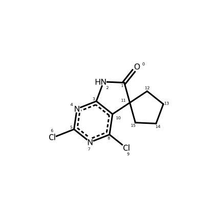 O=C1Nc2nc(Cl)nc(Cl)c2C12CCCC2